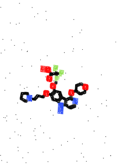 COc1cc2c(cc1OCCCN1CCCC1)[nH]c1ccnc(OC3CCOCC3)c12.O=C(O)C(F)(F)F